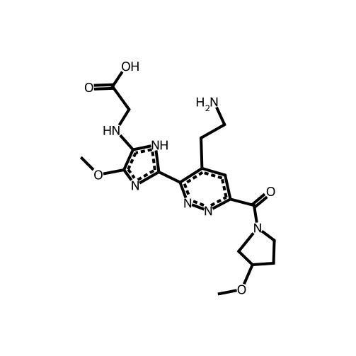 COc1nc(-c2nnc(C(=O)N3CCC(OC)C3)cc2CCN)[nH]c1NCC(=O)O